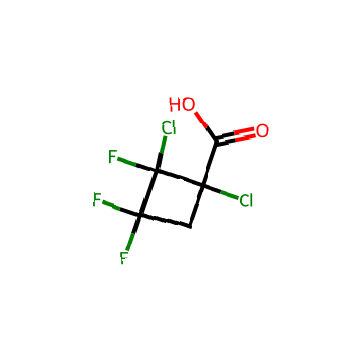 O=C(O)C1(Cl)CC(F)(F)C1(F)Cl